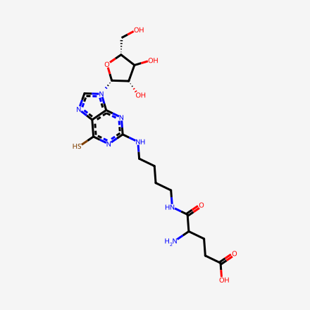 NC(CCC(=O)O)C(=O)NCCCCNc1nc(S)c2ncn([C@@H]3O[C@H](CO)C(O)[C@@H]3O)c2n1